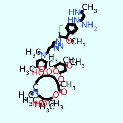 CC[C@H]1OC(=O)[C@H](C)[C@@H](O[C@H]2C[C@@](C)(OC)C[C@H](C)O2)C[C@@H](O[C@H]2C[C@@H](N(C)CCc3cn([C@H](CF)[C@H](OC)c4ccc(N/C(N)=C\C(C)=N)cc4)nn3)C[C@@H](C)O2)[C@H](O)CCCN(C)[C@H](C)[C@@H](O)[C@]1(C)O